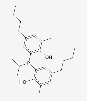 CCCCc1cc(C)c(O)c(P(c2cc(CCCC)cc(C)c2O)C(C)C)c1